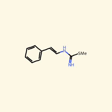 CSC(=N)NC=Cc1ccccc1